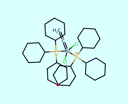 C=[C]=[Ru]([Cl])([Cl])([PH](C1CCCCC1)(C1CCCCC1)C1CCCCC1)[PH](C1CCCCC1)(C1CCCCC1)C1CCCCC1